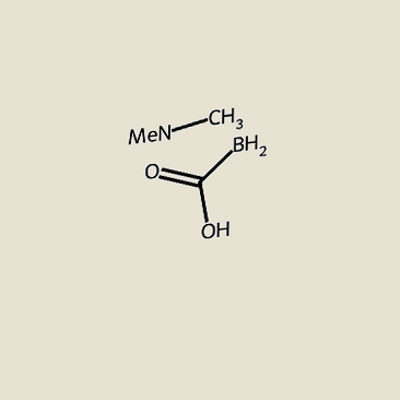 BC(=O)O.CNC